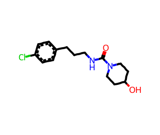 O=C(NCCCc1ccc(Cl)cc1)N1CCC(O)CC1